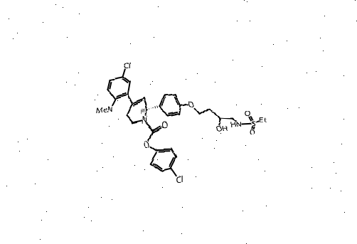 CCS(=O)(=O)NCC(O)CCOc1ccc([C@H]2C=C(c3cc(Cl)ccc3NC)CCN2C(=O)Oc2ccc(Cl)cc2)cc1